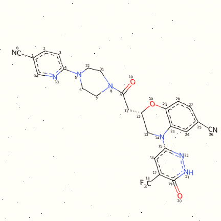 N#Cc1ccc(N2CCN(C(=O)C[C@H]3CN(c4cc(C(F)(F)F)c(=O)[nH]n4)c4cc(C#N)ccc4O3)CC2)nc1